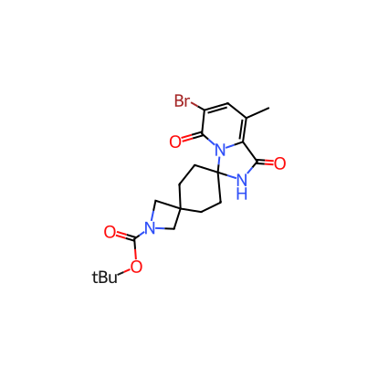 Cc1cc(Br)c(=O)n2c1C(=O)NC21CCC2(CC1)CN(C(=O)OC(C)(C)C)C2